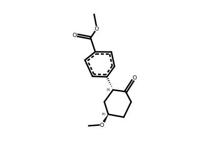 COC(=O)c1ccc([C@H]2C[C@H](OC)CCC2=O)cc1